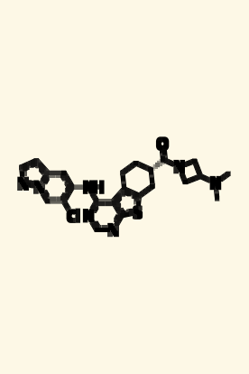 CN(C)C1CN(C(=O)[C@H]2CCc3c(sc4ncnc(Nc5cc6ccnn6cc5Cl)c34)C2)C1